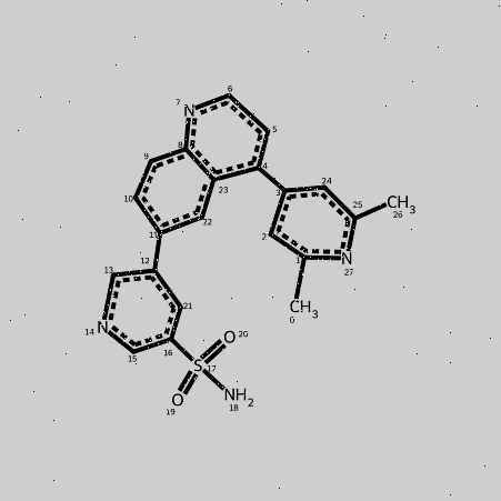 Cc1cc(-c2ccnc3ccc(-c4cncc(S(N)(=O)=O)c4)cc23)cc(C)n1